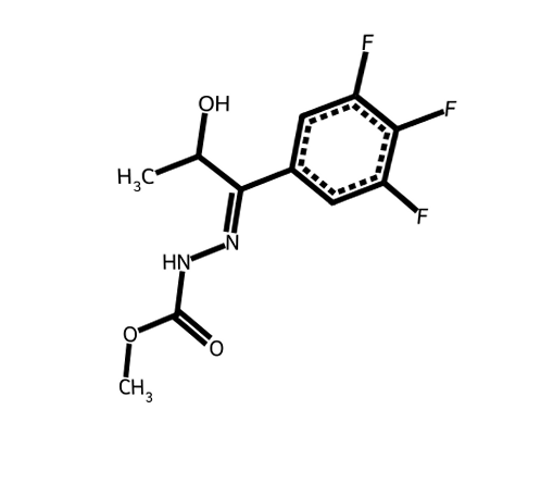 COC(=O)NN=C(c1cc(F)c(F)c(F)c1)C(C)O